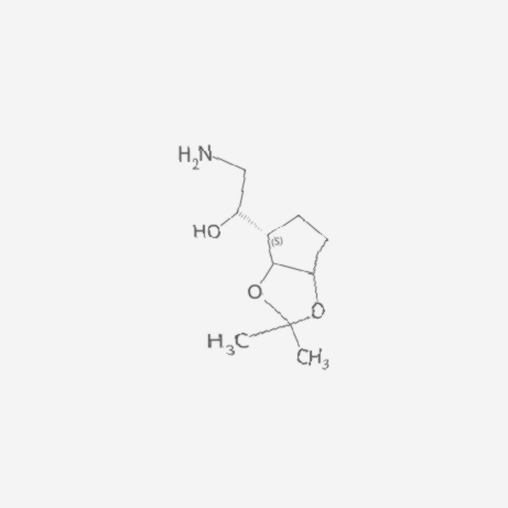 CC1(C)OC2CC[C@@H](C(O)CN)C2O1